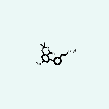 COc1cc2c(c(-c3cccc(C=CC(=O)O)c3)c1)C(=O)OC(C)(C)O2